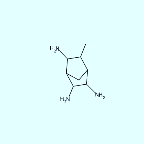 CC1C(N)C2CC1C(N)C2N